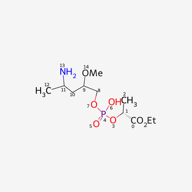 CCOC(=O)[C@@H](C)OP(=O)(O)OCC(CC(C)N)OC